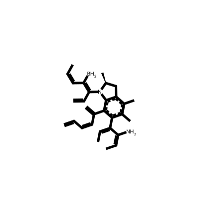 BC(/C=C\C)=C(/C=C)N1c2c(c(C)c(C)c(C(=C/C)/C(N)=C\C)c2C(=C)/C=C\C=C)C[C@@H]1C